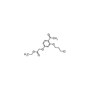 CCOC(=O)COc1ccc(C(C)=O)c(OCCCCl)c1